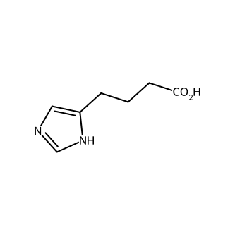 O=C(O)CCCc1cnc[nH]1